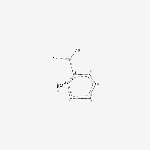 C[C](C)c1ccccc1.[KH]